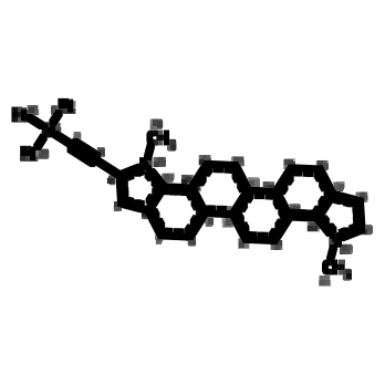 CC[Si](C#Cc1cc2ccc3c4ccc5c(ccc6ccn(C)c65)c4ccc3c2n1C)(CC)CC